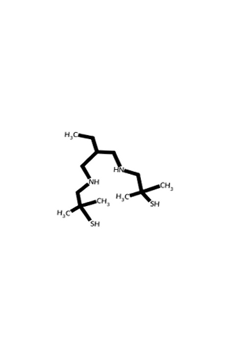 CCC(CNCC(C)(C)S)CNCC(C)(C)S